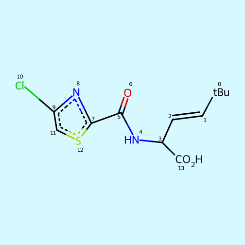 CC(C)(C)/C=C/C(NC(=O)c1nc(Cl)cs1)C(=O)O